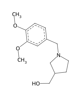 COc1ccc(CN2CCC(CO)C2)cc1OC